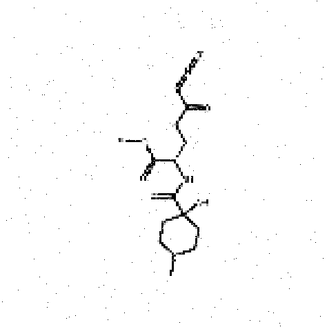 CC(C)OC(=O)[C@H](CCC(=O)C=[N+]=[N-])NC(=O)C1(O)CCN(C)CC1